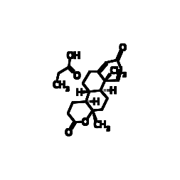 CCC(=O)O.C[C@]12C=CC(=O)C=C1CC[C@@H]1[C@@H]2CC[C@]2(C)OC(=O)CC[C@@H]12